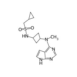 CN(c1ncnc2[nH]ccc12)C1CC(NS(=O)(=O)CC2CC2)C1